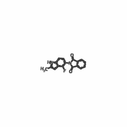 Cc1cc2c(F)c(N3C(=O)c4ccccc4C3=O)ccc2[nH]1